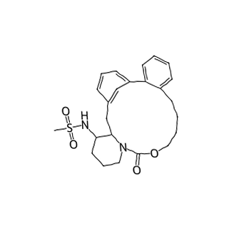 CS(=O)(=O)NC1CCCN2C(=O)OCCCCc3ccccc3-c3cccc(c3)CC12